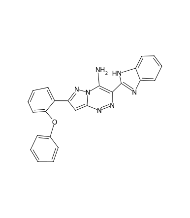 Nc1c(-c2nc3ccccc3[nH]2)nnc2cc(-c3ccccc3Oc3ccccc3)nn12